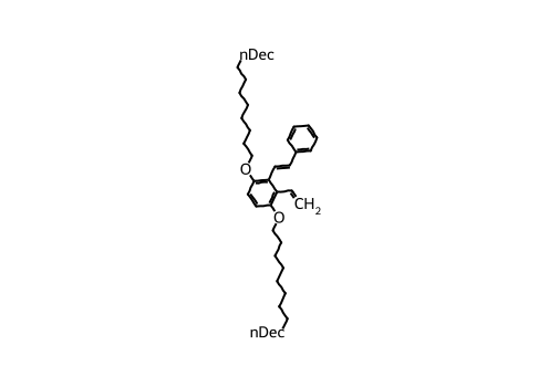 C=Cc1c(OCCCCCCCCCCCCCCCCCC)ccc(OCCCCCCCCCCCCCCCCCC)c1C=Cc1ccccc1